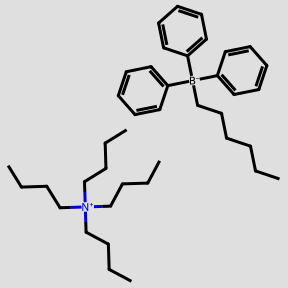 CCCCCC[B-](c1ccccc1)(c1ccccc1)c1ccccc1.CCCC[N+](CCCC)(CCCC)CCCC